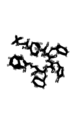 CC(C)(C)OC(=O)NC1CCN(C(=O)N[C@@H](Cc2ccccc2)C(=O)N[C@@H](Cc2c[nH]cn2)C(=O)N[C@@H](CC2CCCCC2)[C@@H](O)CCSc2nc3ccccc3[nH]2)CC1